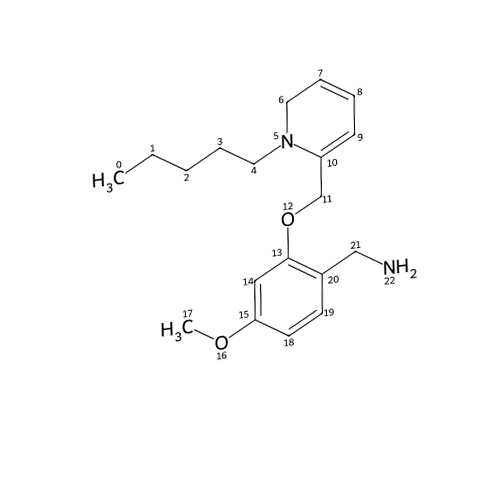 CCCCCN1CC=CC=C1COc1cc(OC)ccc1CN